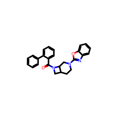 O=C(c1ccccc1-c1ccccc1)N1CC2CCN(c3nc4ccccc4o3)CC21